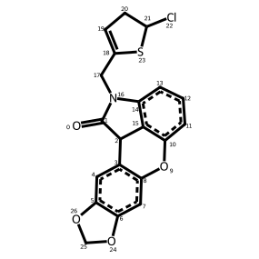 O=C1C2c3cc4c(cc3Oc3cccc(c32)N1CC1=CCC(Cl)S1)OCO4